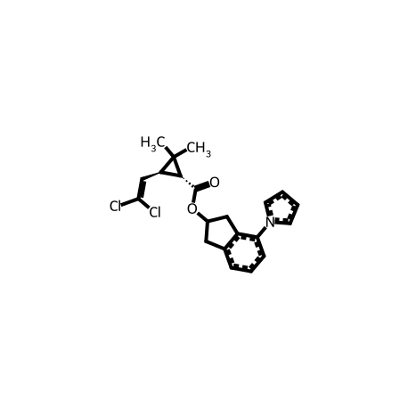 CC1(C)[C@H](C=C(Cl)Cl)[C@H]1C(=O)OC1Cc2cccc(-n3cccc3)c2C1